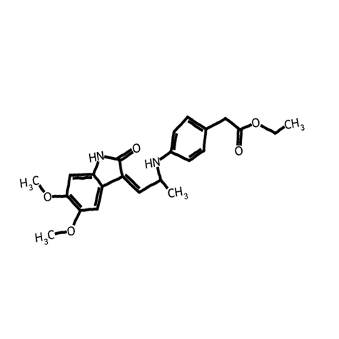 CCOC(=O)Cc1ccc(NC(C)C=C2C(=O)Nc3cc(OC)c(OC)cc32)cc1